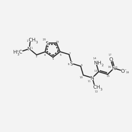 CN(C)Cc1cc(CSCCN(C)C(N)=C[N+](=O)[O-])cs1